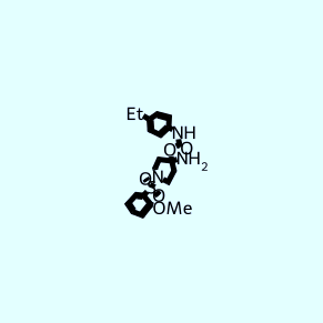 CCc1ccc(NC(=O)OC2(N)CCN(S(=O)(=O)c3ccccc3OC)CC2)cc1